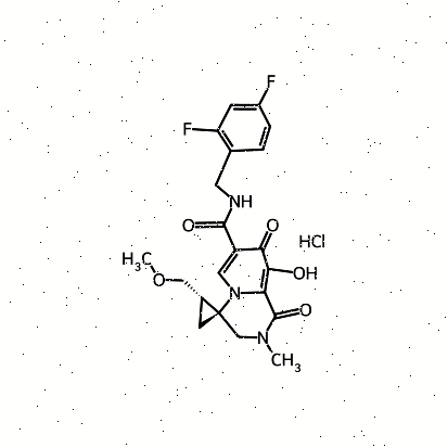 COC[C@H]1C[C@@]12CN(C)C(=O)c1c(O)c(=O)c(C(=O)NCc3ccc(F)cc3F)cn12.Cl